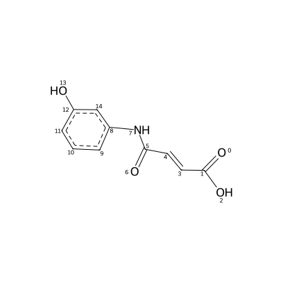 O=C(O)C=CC(=O)Nc1cccc(O)c1